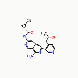 CC(O)Cc1ccncc1-c1cc2cc(NC(=O)[C@@H]3C[C@H]3C#N)ncc2c(N)n1